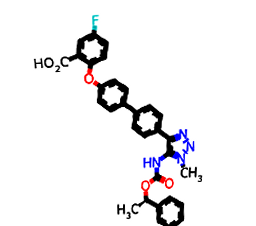 C[C@@H](OC(=O)Nc1c(-c2ccc(-c3ccc(Oc4ccc(F)cc4C(=O)O)cc3)cc2)nnn1C)c1ccccc1